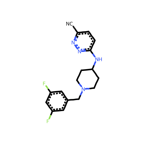 N#Cc1ccc(NC2CCN(Cc3cc(F)cc(F)c3)CC2)nn1